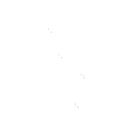 CN1CCN(c2ncnc3sccc23)CC1